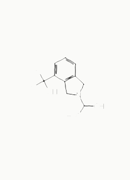 CC(C)N1Cc2cccc(C(C)(C)C)c2C1